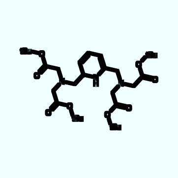 CC(C)(C)OC(=O)CN(C[C]1C=CC=C(CN(CC(=O)OC(C)(C)C)CC(=O)OC(C)(C)C)N1)CC(=O)OC(C)(C)C